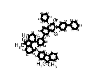 CC1(C)c2ccccc2-c2cc(N(c3ccc(-c4ccc5c(c4)c(=O)n(-c4ccc(-c6ccccc6)cc4)c(=O)n5-c4ccccc4)cc3)c3cccc4c3-c3ccccc3C4(C)C)ccc21